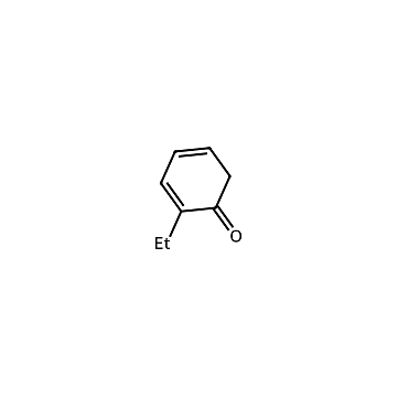 CCC1=CC=CCC1=O